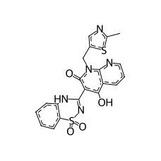 Cc1ncc(Cn2c(=O)c(C3=NS(=O)(=O)c4ccccc4N3)c(O)c3cccnc32)s1